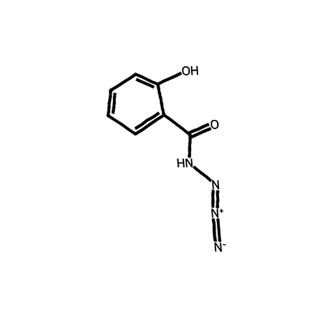 [N-]=[N+]=NNC(=O)c1ccccc1O